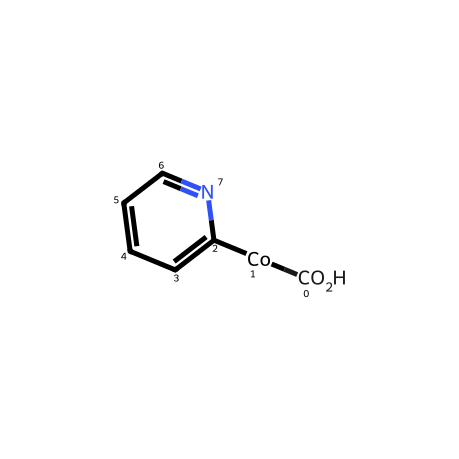 O=[C](O)[Co][c]1ccccn1